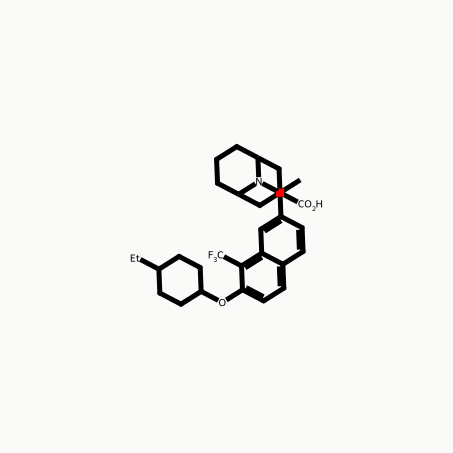 CCC1CCC(Oc2ccc3ccc(C(C)N4C5CCCC4CC(C(=O)O)C5)cc3c2C(F)(F)F)CC1